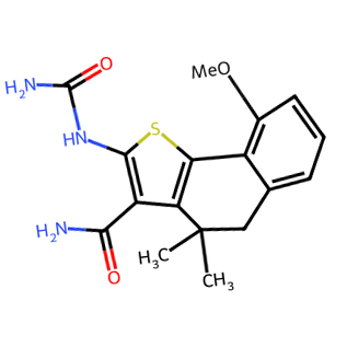 COc1cccc2c1-c1sc(NC(N)=O)c(C(N)=O)c1C(C)(C)C2